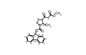 COC(=O)CC(=O)C1CCN(C(=O)OC2c3ccccc3-c3ccccc32)C1C